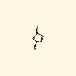 CC(C)[C@@H]1C=CC(=O)O1